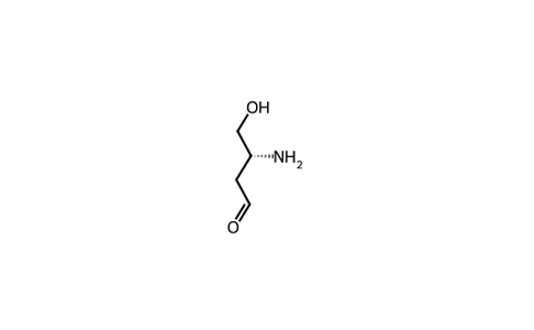 N[C@@H](CO)CC=O